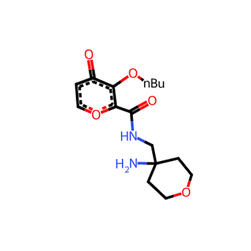 CCCCOc1c(C(=O)NCC2(N)CCOCC2)occc1=O